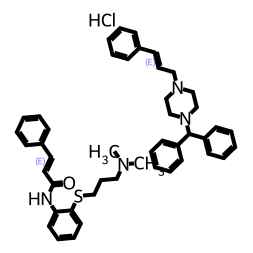 C(=C\c1ccccc1)/CN1CCN(C(c2ccccc2)c2ccccc2)CC1.CN(C)CCCSc1ccccc1NC(=O)/C=C/c1ccccc1.Cl